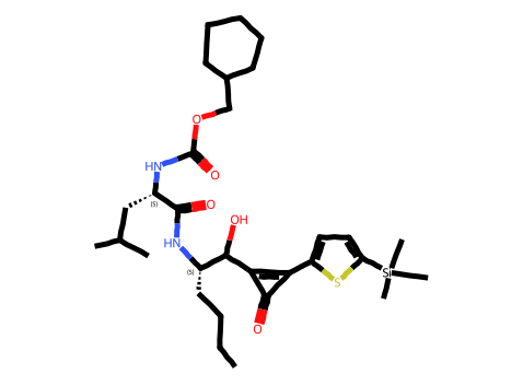 CCCC[C@H](NC(=O)[C@H](CC(C)C)NC(=O)OCC1CCCCC1)C(O)c1c(-c2ccc([Si](C)(C)C)s2)c1=O